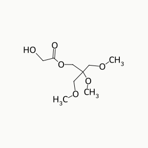 COCC(COC)(COC(=O)CO)OC